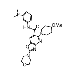 COC1CCN(c2nc3nc(N4CCOCC4)oc3cc2C(=O)Nc2cccc(P(C)C)c2)CC1